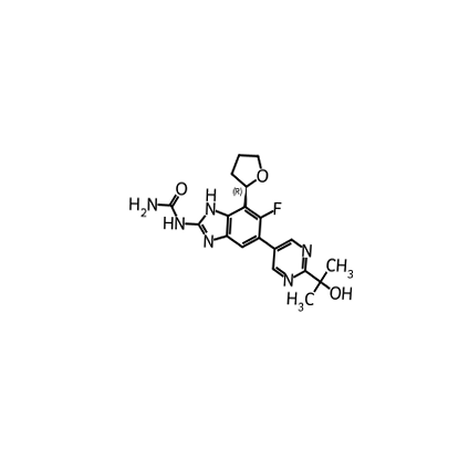 CC(C)(O)c1ncc(-c2cc3nc(NC(N)=O)[nH]c3c([C@H]3CCCO3)c2F)cn1